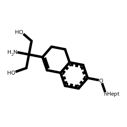 CCCCCCCOc1ccc2c(c1)CCC(C(N)(CO)CO)=C2